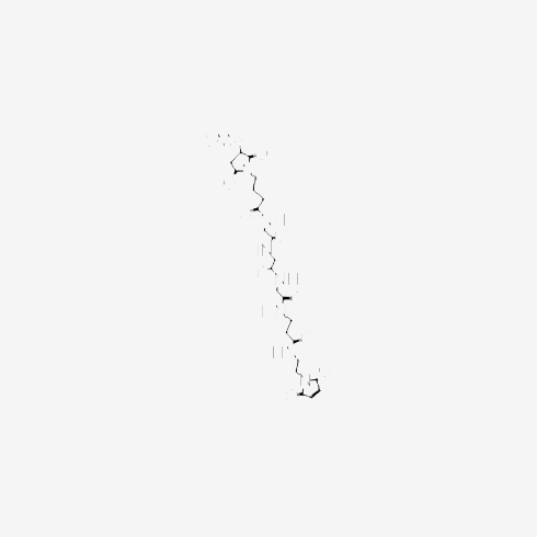 CSC1CC(=O)N(CCCC(=O)NCC(=O)NCC(=O)NCC(=O)NCCC(=O)NCCN2C(=O)C=CC2=O)C1=O